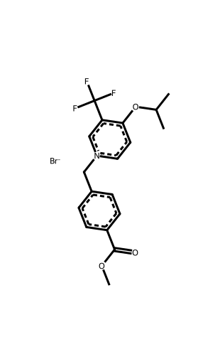 COC(=O)c1ccc(C[n+]2ccc(OC(C)C)c(C(F)(F)F)c2)cc1.[Br-]